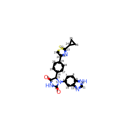 O=C1NC(=O)N(c2ccc3[nH]cnc3c2)C1c1ccc(-c2csc(C3CC3)n2)cc1